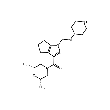 C[C@@H]1CN(C(=O)c2nn(CNC3CCNCC3)c3c2CCC3)C[C@H](C)O1